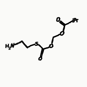 CC(C)C(=O)OCOC(=O)SCCN